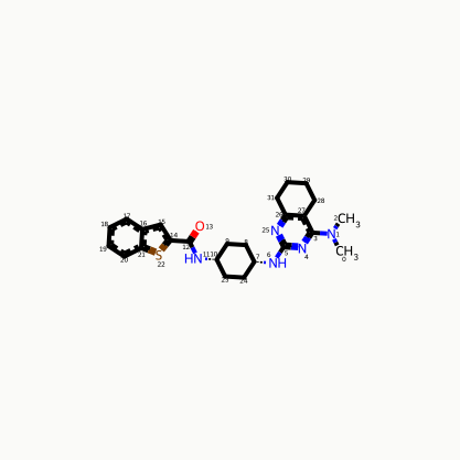 CN(C)c1nc(N[C@H]2CC[C@@H](NC(=O)c3cc4ccccc4s3)CC2)nc2c1CCCC2